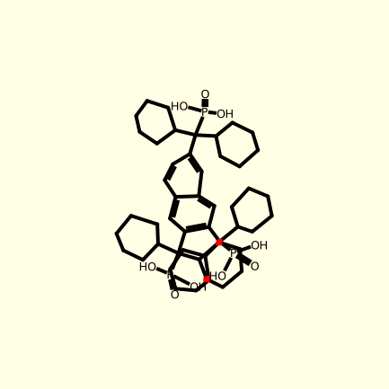 O=P(O)(O)C(c1ccc2cc(C(C3CCCCC3)(C3CCCCC3)P(=O)(O)O)c(C(C3CCCCC3)(C3CCCCC3)P(=O)(O)O)cc2c1)(C1CCCCC1)C1CCCCC1